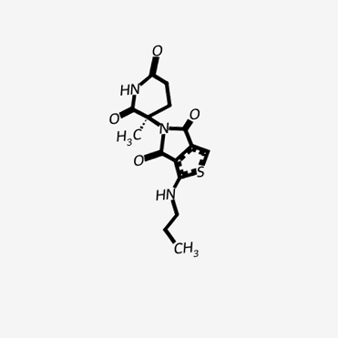 CCCNc1scc2c1C(=O)N([C@]1(C)CCC(=O)NC1=O)C2=O